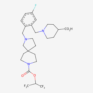 O=C(O)C1CCN(Cc2cc(F)ccc2CN2CCC3(CCN(C(=O)OC(C(F)(F)F)C(F)(F)F)CC3)C2)CC1